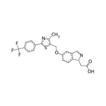 Cc1nc(-c2ccc(C(F)(F)F)cc2)sc1COc1ccc2c(c1)C=NC2CC(=O)O